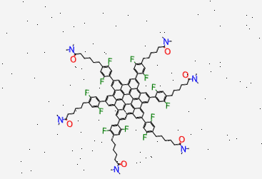 CN(C)C(=O)CCCCCc1cc(F)c(-c2cc3c4cc(-c5cc(F)c(CCCCCC(=O)N(C)C)cc5F)cc5c6cc(-c7cc(F)c(CCCCCC(=O)N(C)C)cc7F)cc7c8cc(-c9cc(F)c(CCCCCC(=O)N(C)C)cc9F)cc9c%10cc(-c%11cc(F)c(CCCCCC(=O)N(C)C)cc%11F)cc%11c%12cc(-c%13cc(F)c(CCCCCC(=O)N(C)C)cc%13F)cc%13c(c2)c3c2c(c45)c(c67)c(c89)c(c%11%10)c2c%13%12)cc1F